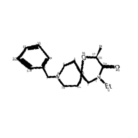 CCN1CC2(CCN(Cc3ccccc3)CC2)O[C@@H](C)C1=O